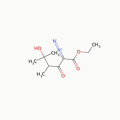 CCOC(=O)C(=[N+]=[N-])C(=O)C(C)C(C)(C)O